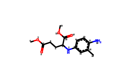 COC(=O)CCC(Nc1ccc(N)c(C)c1)C(=O)OC